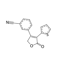 N#Cc1cccc(C2=C(c3cccs3)C(=O)OC2)c1